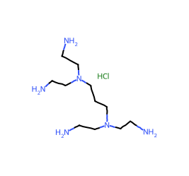 Cl.NCCN(CCN)CCCN(CCN)CCN